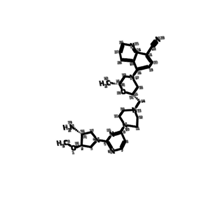 CO[C@@H]1CN(c2nccc(N3CCN(C[C@H]4CN(c5ccc(C#N)c6ncccc56)C[C@@H](C)O4)CC3)n2)C[C@H]1N